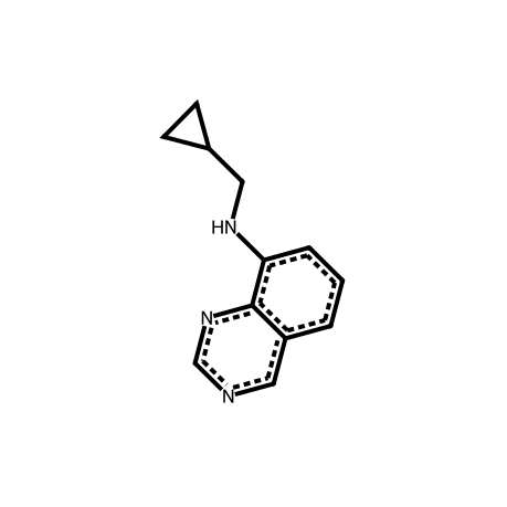 c1cc(NCC2CC2)c2ncncc2c1